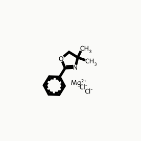 CC1(C)COC(c2ccccc2)=N1.[Cl-].[Cl-].[Mg+2]